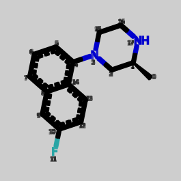 C[C@H]1CN(c2cccc3cc(F)ccc23)CCN1